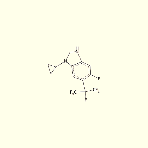 Fc1cc2c(cc1C(F)(C(F)(F)F)C(F)(F)F)N(C1CC1)CN2